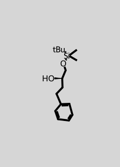 CC(C)(C)[Si](C)(C)OC[C@H](O)CCc1ccccc1